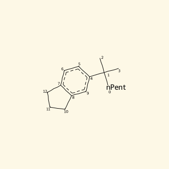 CCCCCC(C)(C)c1ccc2c(c1)CCC2